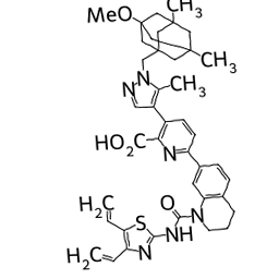 C=Cc1nc(NC(=O)N2CCCc3ccc(-c4ccc(-c5cnn(CC67CC8(C)CC(C)(C6)CC(OC)(C8)C7)c5C)c(C(=O)O)n4)cc32)sc1C=C